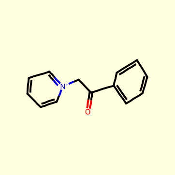 O=C(C[n+]1ccccc1)c1ccccc1